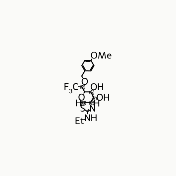 CCNC1=N[C@@H]2[C@@H](O)[C@H](O)C([C@@H](OCc3ccc(OC)cc3)C(F)(F)F)O[C@@H]2S1